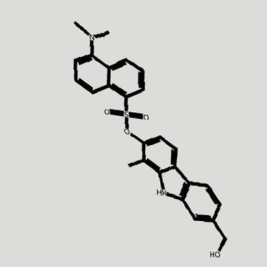 Cc1c(OS(=O)(=O)c2cccc3c(N(C)C)cccc23)ccc2c1[nH]c1cc(CO)ccc12